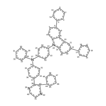 c1ccc(-c2ccc3c(c2)c2cc(-c4ccccc4)ccc2n3-c2ccc(N(c3ccccc3)c3ccc(-c4nccnc4-c4ccccc4)cc3)cc2)cc1